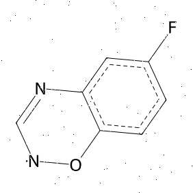 Fc1ccc2c(c1)N=C[N]O2